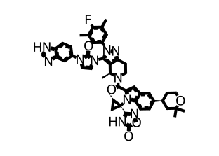 Cc1cc(-n2nc3c(c2-n2ccn(-c4ccc5[nH]cnc5c4)c2=O)[C@H](C)N(C(=O)c2cc4cc([C@H]5CCOC(C)(C)C5)ccc4n2[C@@]2(c4noc(=O)[nH]4)C[C@@H]2C)CC3)cc(C)c1F